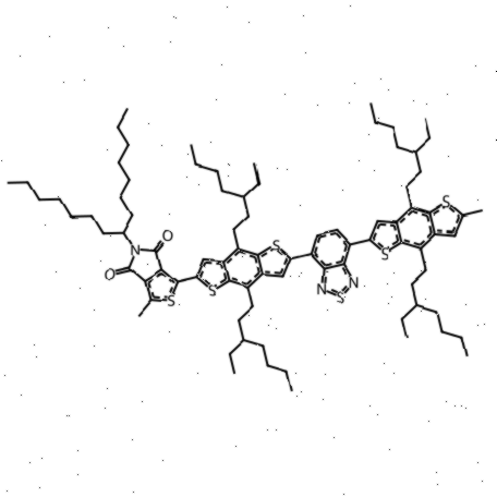 CCCCCCCC(CCCCCCC)N1C(=O)c2c(C)sc(-c3cc4c(CCC(CC)CCCC)c5sc(-c6ccc(-c7cc8c(CCC(CC)CCCC)c9sc(C)cc9c(CCC(CC)CCCC)c8s7)c7nsnc67)cc5c(CCC(CC)CCCC)c4s3)c2C1=O